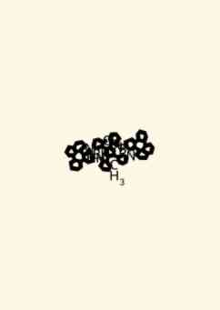 Cc1ccc2c(c1-c1c3[nH]c4ccccc4c3c3c4c1c1ccccc1n4B1c4c(ccc(C)c4-3)-n3c4ccc5cccc6c5c4c4c(ccc1c43)-c1ccccc1-6)Bc1ccc3c4c5c6c(cccc6ccc5n-2c14)-c1ccccc1-3